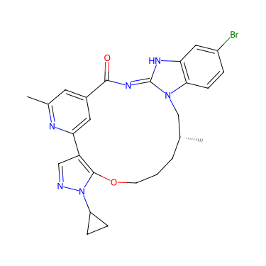 Cc1cc2cc(n1)-c1cnn(C3CC3)c1OCCC[C@@H](C)CN1/C(=N/C2=O)Nc2cc(Br)ccc21